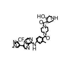 Cc1cc(Nc2nccn3c(-c4cn(C)nc4C(F)(F)F)cnc23)ccc1C(=O)N1CCN(C(=O)[C@@H]2CCNC[C@H]2O)CC1